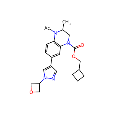 CC(=O)N1c2ccc(-c3cnn(C4COC4)c3)cc2N(C(=O)OCC2CCC2)CC1C